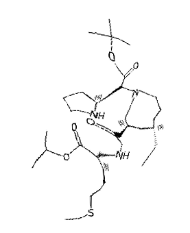 CC[C@H]1CCN(C(C(=O)OC(C)(C)C)[C@@H]2CCCN2)[C@@H]1C(=O)N[C@@H](CCSC)C(=O)OC(C)C